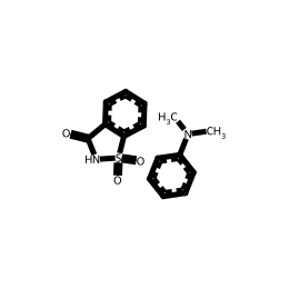 CN(C)c1ccccc1.O=C1NS(=O)(=O)c2ccccc21